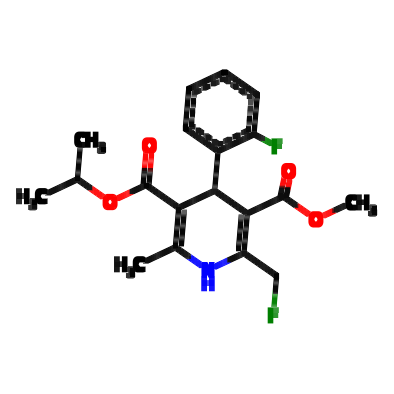 COC(=O)C1=C(CF)NC(C)=C(C(=O)OC(C)C)C1c1ccccc1F